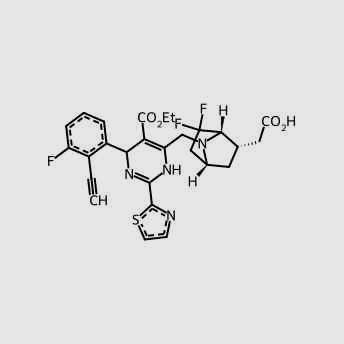 C#Cc1c(F)cccc1C1N=C(c2nccs2)NC(CN2[C@@H]3C[C@@H](CC(=O)O)[C@H]2C(F)(F)C3)=C1C(=O)OCC